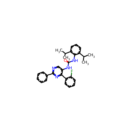 CC(C)c1cccc(C(C)C)c1NC(=O)Nc1cnc(-c2ccccc2)nc1-c1ccccc1F